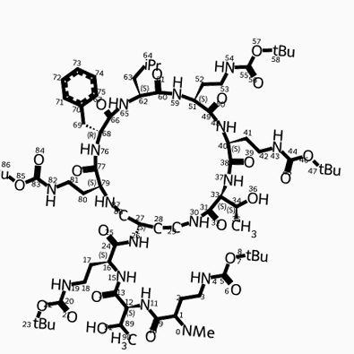 CNC(CCNC(=O)OC(C)(C)C)C(=O)N[C@H](C(=O)N[C@@H](CCNC(=O)OC(C)(C)C)C(=O)N[C@H]1CCNC(=O)[C@H]([C@H](C)O)NC(=O)[C@H](CCNC(=O)OC(C)(C)C)NC(=O)[C@H](CCNC(=O)OC(C)(C)C)NC(=O)[C@H](CC(C)C)NC(=O)[C@@H](Cc2ccccc2)NC(=O)[C@H](CCNC(=O)OC(C)(C)C)NC1)C(C)O